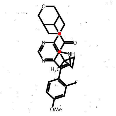 COc1ccc(-c2c[nH]c3c(OC4C5COCC4CN(C(=O)OC4(C)CC4)C5)ncnc23)c(F)c1